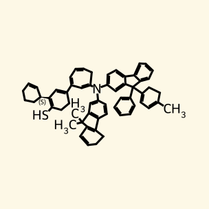 CC1=CC=C(C2(c3ccccc3)c3ccccc3-c3ccc(N(C4=CC(C5=CC([C@@H]6C=CCCC6)=C(S)CC5)=CC=CC4)c4ccc5c(c4)C(C)(C)C4=C5CCC=C4)cc32)CC1